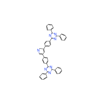 c1ccc(-c2nc(-c3ccccc3)nc(-c3ccc(-c4cncc(-c5ccc(-c6nc(-c7ccccc7)nc(-c7ccccc7)n6)cc5)c4)cc3)n2)cc1